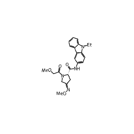 CCn1c2ccccc2c2cc(NC(=O)[C@@H]3CC(=NOC)CN3C(=O)COC)ccc21